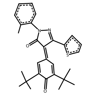 Cc1ccccc1N1N=C(c2cccs2)C(=C2C=C(C(C)(C)C)C(=O)C(C(C)(C)C)=C2)C1=O